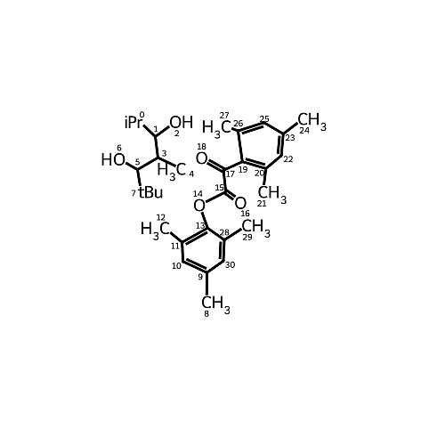 CC(C)C(O)C(C)C(O)C(C)(C)C.Cc1cc(C)c(OC(=O)C(=O)c2c(C)cc(C)cc2C)c(C)c1